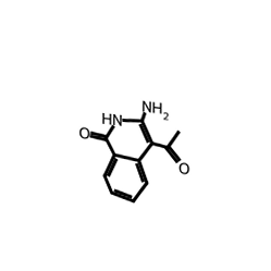 CC(=O)c1c(N)[nH]c(=O)c2ccccc12